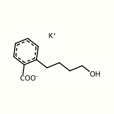 O=C([O-])c1ccccc1CCCCO.[K+]